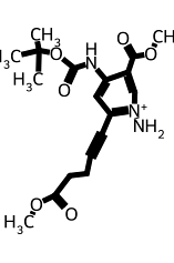 COC(=O)CCC#Cc1cc(NC(=O)OC(C)(C)C)c(C(=O)OC)c[n+]1N